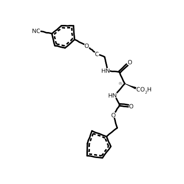 N#Cc1ccc(OCCNC(=O)[C@H](NC(=O)OCc2ccccc2)C(=O)O)cc1